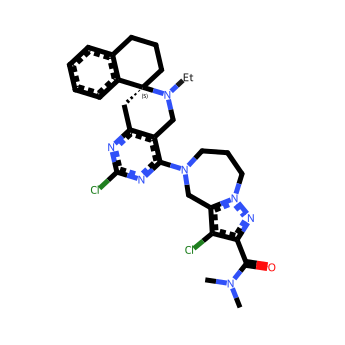 CCN1Cc2c(nc(Cl)nc2N2CCCn3nc(C(=O)N(C)C)c(Cl)c3C2)C[C@]12CCCc1ccccc12